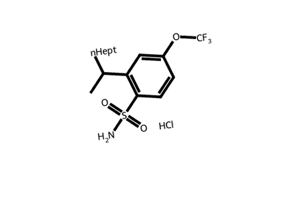 CCCCCCCC(C)c1cc(OC(F)(F)F)ccc1S(N)(=O)=O.Cl